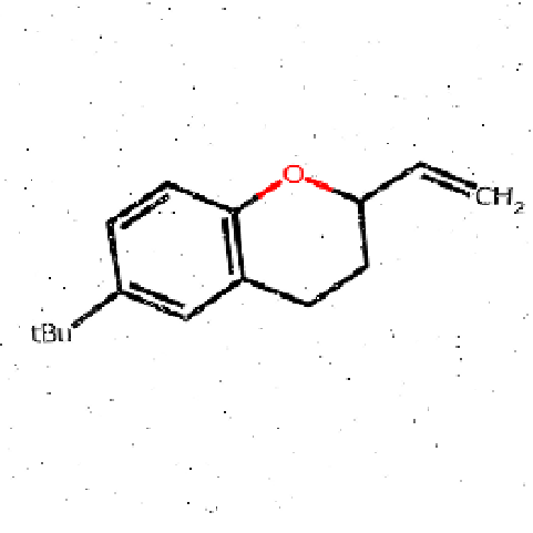 C=CC1CCc2cc(C(C)(C)C)ccc2O1